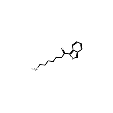 O=C(O)CCCCCCC(=O)c1scc2ccccc12